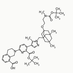 Cc1c(-c2ccc(N3CCc4cccc(C(=O)O)c4C3)nc2C(=O)OC(C)(C)C)cnn1CC12CC3(C)CC(C)(C1)CC(OCCN(C)C(=O)OC(C)(C)C)(C3)C2